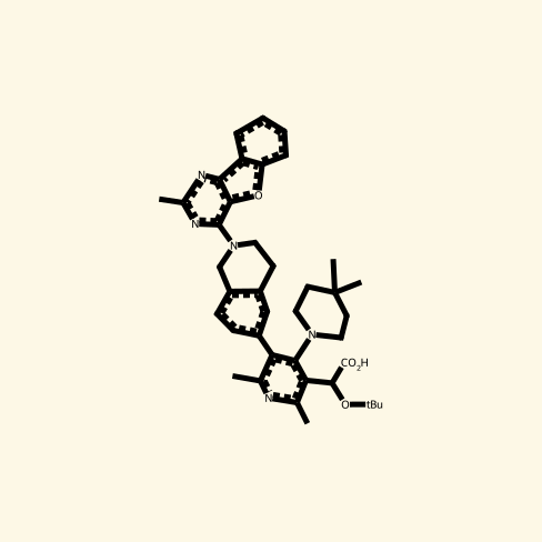 Cc1nc(N2CCc3cc(-c4c(C)nc(C)c(C(OC(C)(C)C)C(=O)O)c4N4CCC(C)(C)CC4)ccc3C2)c2oc3ccccc3c2n1